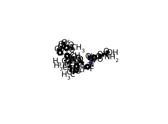 CC1COc2ccccc2N1C(=O)C(Cl)Cl.CCc1cccc(C)c1N(C(=O)CCl)C(C)COC.COC(=O)CSc1cc(/N=c2\sc(=O)n3n2CCCC3)c(F)cc1Cl.CP(=O)(O)CCC(N)C(=O)O.CS(=O)(=O)c1ccc(C(=O)C2C(=O)CCCC2=O)c([N+](=O)[O-])c1